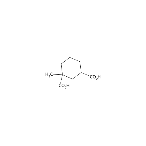 CC1(C(=O)O)CCCC(C(=O)O)C1